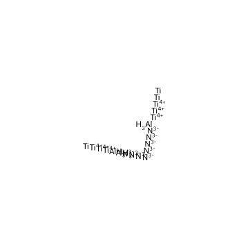 [AlH3].[AlH3].[AlH3].[N-3].[N-3].[N-3].[N-3].[N-3].[N-3].[N-3].[N-3].[Ti+4].[Ti+4].[Ti+4].[Ti+4].[Ti+4].[Ti+4].[Ti].[Ti].[Ti]